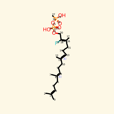 CC(C)=CCC/C(C)=C/CC/C(C)=C/CCC(C)=C(F)COP(=O)(O)OP(C)(=O)O